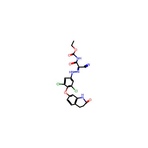 CCOC(=O)NC(=O)C(C#N)=NNc1cc(Cl)c(Oc2ccc3c(c2)NC(=O)CC3)c(Cl)c1